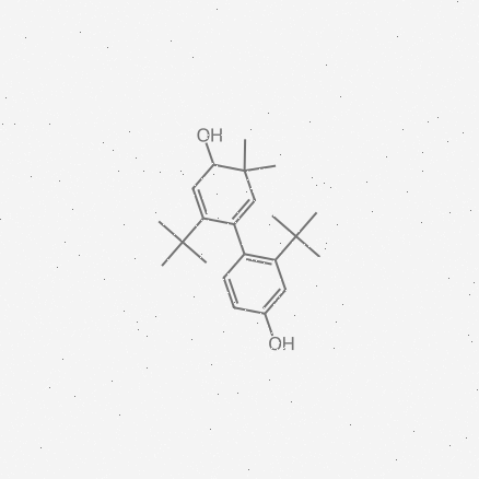 CC(C)(C)C1=CC(O)C(C)(C)C=C1c1ccc(O)cc1C(C)(C)C